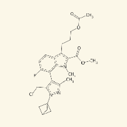 COC(=O)c1c(CCCOC(C)=O)c2ccc(F)c(-c3c(C)nn(C45CC(C4)C5)c3CCl)c2n1C